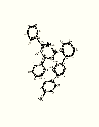 N#Cc1ccc(-c2ccc(-c3ccccc3-c3nc(-c4ccccc4)nc(-c4ccccc4)n3)cc2)cc1